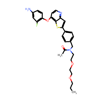 CCCOCCOCCN(Cc1ccc(-c2cc3nccc(Oc4ccc(N)cc4F)c3s2)cc1)C(C)=O